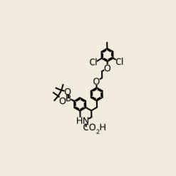 Cc1cc(Cl)c(OCCOc2ccc(CC(CNC(=O)O)c3ccc(B4OC(C)(C)C(C)(C)O4)cc3C)cc2)c(Cl)c1